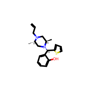 C=CCN1C[C@@H](C)N([C@H](c2cccs2)c2ccccc2O)C[C@@H]1C